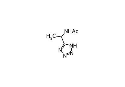 CC(=O)NC(C)c1nnn[nH]1